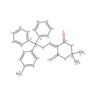 Cc1ccc(C(C[C]=C2C(=O)CC(C)(C)CC2=O)(c2ccccc2)c2ccccc2)cc1